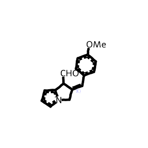 COc1ccc(/C=C2/Cn3cccc3C2C=O)cc1